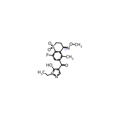 CCn1ncc(C(=O)c2cc(F)c3c(c2C)/C(=N/OC)CCS3(=O)=O)c1O